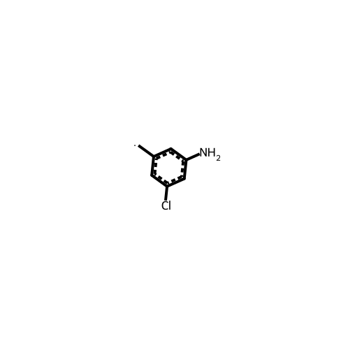 [CH2]c1cc(N)cc(Cl)c1